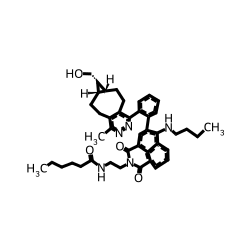 CCCCCC(=O)NCCN1C(=O)c2cccc3c(NCCCC)c(-c4ccccc4-c4nnc(C)c5c4CC[C@H]4[C@@H](CO)[C@H]4CC5)cc(c23)C1=O